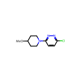 COC1CCN(c2ccc(Cl)nn2)CC1